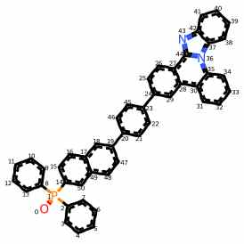 O=P(c1ccccc1)(c1ccccc1)c1ccc2cc(-c3ccc(-c4ccc5c(c4)c4ccccc4n4c6ccccc6nc54)cc3)ccc2c1